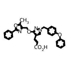 Cc1oc(-c2ccccc2)nc1COc1nn(Cc2ccc(Oc3ccccc3)cc2)cc1C=CC(=O)O